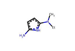 CCN(C)c1ccc(N)[nH]1